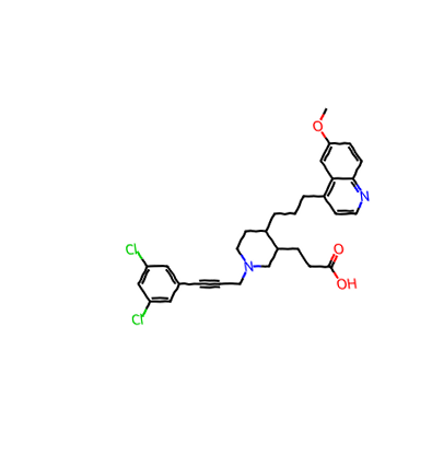 COc1ccc2nccc(CCCC3CCN(CC#Cc4cc(Cl)cc(Cl)c4)CC3CCC(=O)O)c2c1